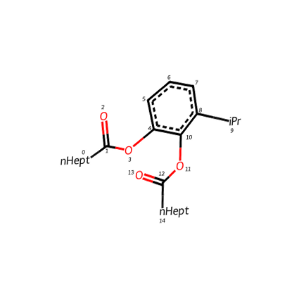 CCCCCCCC(=O)Oc1cccc(C(C)C)c1OC(=O)CCCCCCC